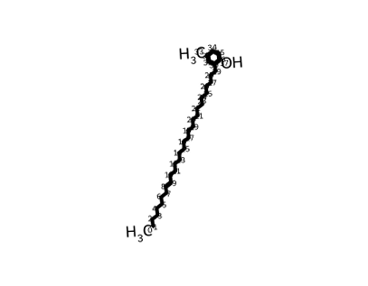 CCCCCCCCC=CCCCCCCCCCCCCCCCCCCCCc1cc(C)ccc1O